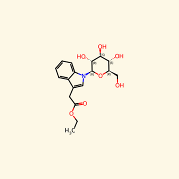 CCOC(=O)Cc1cn([C@@H]2O[C@H](CO)[C@@H](O)[C@H](O)[C@H]2O)c2ccccc12